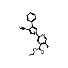 CCOC(=O)c1cc(-n2cc(C#N)c(-c3ccccc3)c2)ncc1F